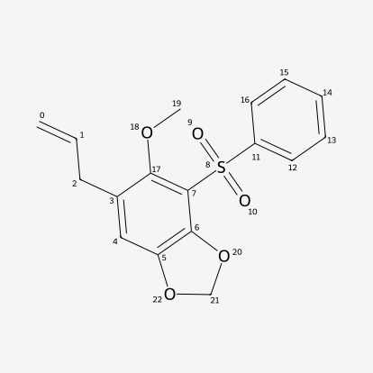 C=CCc1cc2c(c(S(=O)(=O)c3ccccc3)c1OC)OCO2